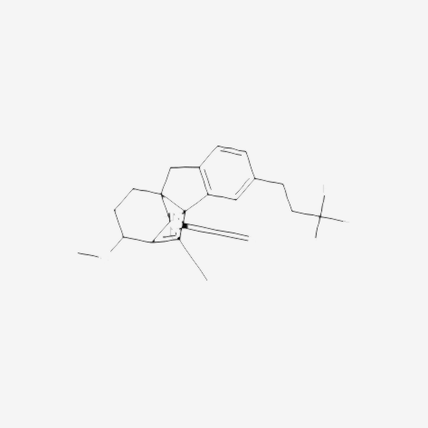 COC1CCC23CC1=C1N(C)C(=S)NC12c1cc(CCC(F)(F)F)ccc1C3